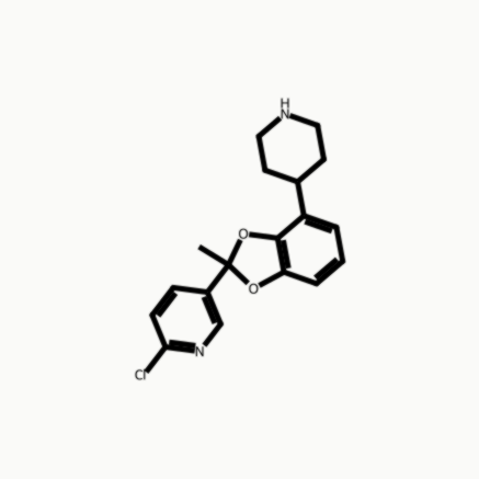 CC1(c2ccc(Cl)nc2)Oc2cccc(C3CCNCC3)c2O1